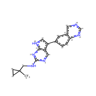 FC(F)(F)C1(CNc2ncc3c(-c4ccc5ncncc5c4)c[nH]c3n2)CC1